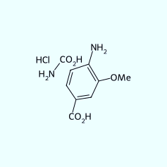 COc1cc(C(=O)O)ccc1N.Cl.NC(=O)O